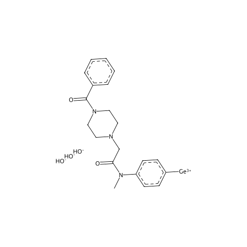 CN(C(=O)CN1CCN(C(=O)c2ccccc2)CC1)c1cc[c]([Ge+3])cc1.[OH-].[OH-].[OH-]